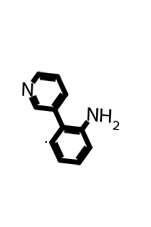 Nc1ccc[c]c1-c1cccnc1